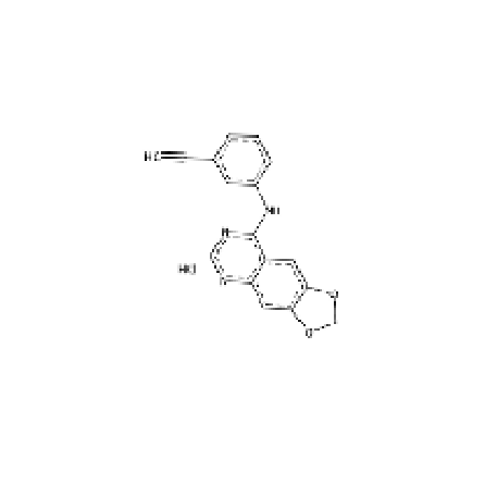 C#Cc1cccc(Nc2ncnc3cc4c(cc23)OCO4)c1.Cl